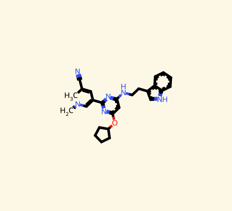 C=N/C=C(\C=C(/C)C#N)c1nc(NCCc2c[nH]c3ccccc23)cc(OC2CCCC2)n1